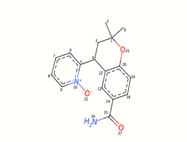 CC1(C)CC(c2cccc[n+]2[O-])c2cc(C(N)=O)ccc2O1